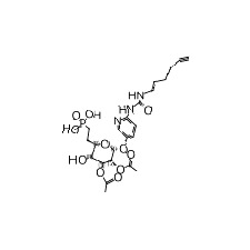 C#CCCCCNC(=O)Nc1ccc(O[C@H]2O[C@H](CCP(=O)(O)O)[C@@H](O)[C@H](OC(C)=O)[C@@H]2OC(C)=O)cn1